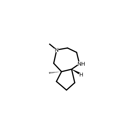 CN1CCN[C@@H]2CCC[C@@]2(C)C1